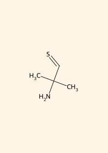 CC(C)(N)C=S